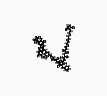 CC[C@@]1(O)C(=O)OCc2c1cc1n(c2=O)Cc2c-1nc1cc(F)c(C)cc1c2CN1CCO[C@H](COCNC(=O)CNC(=O)C(Cc2ccccc2)NC(=O)CNC(=O)CNC(=O)CCOCCOCCOCCN2C(=O)C=CC2=O)C1